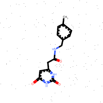 Cc1ccc(CNC(=O)Cc2cc(=O)[nH]c(=O)[nH]2)cc1